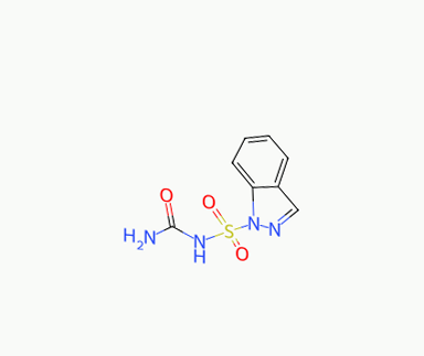 NC(=O)NS(=O)(=O)n1ncc2ccccc21